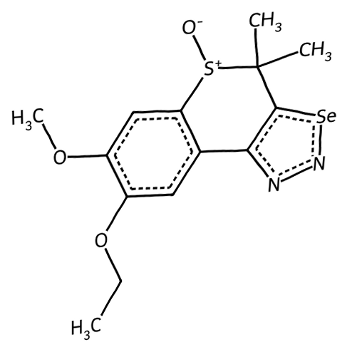 CCOc1cc2c(cc1OC)[S+]([O-])C(C)(C)c1[se]nnc1-2